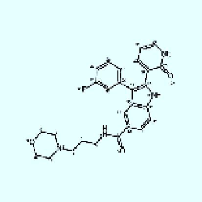 O=C(NCCCN1CCOCC1)c1ccc2[nH]c(-c3ccc[nH]c3=O)c(-c3cccc(F)c3)c2c1